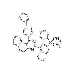 CC1(C)c2ccccc2-c2c1cc1ccccc1c2-c1nc(-c2ccc(-c3ccccc3)cc2)c2c(ccc3ccccc32)n1